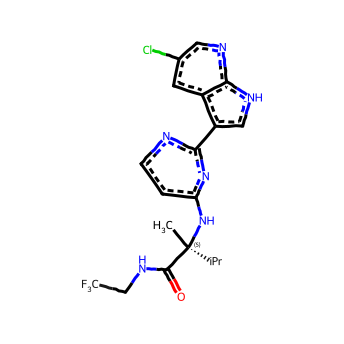 CC(C)[C@](C)(Nc1ccnc(-c2c[nH]c3ncc(Cl)cc23)n1)C(=O)NCC(F)(F)F